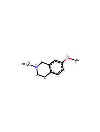 CCCOc1ccc2c(c1)CN(C(=O)O)CC2